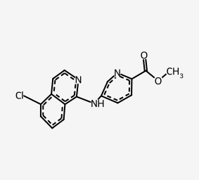 COC(=O)c1ccc(Nc2nccc3c(Cl)cccc23)cn1